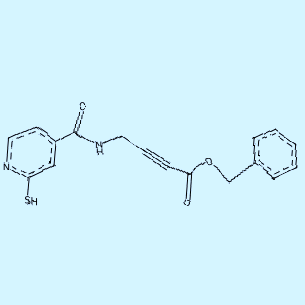 O=C(C#CCNC(=O)c1ccnc(S)c1)OCc1ccccc1